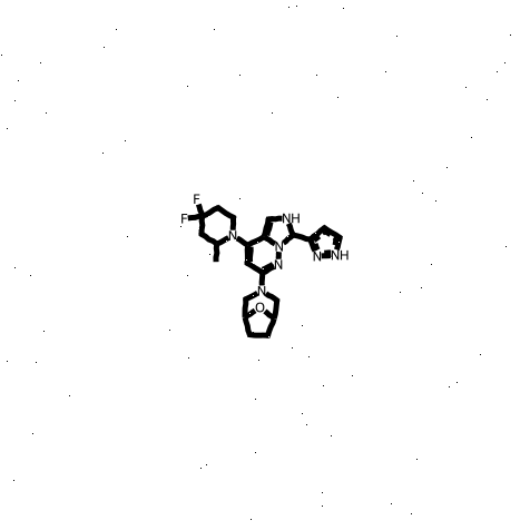 CC1CC(F)(F)CCN1C1=CC(N2CC3CCC(C2)O3)=NN2C1=CNC2c1cc[nH]n1